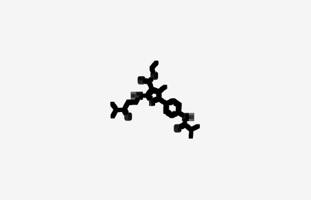 CCOC(=O)c1c(NC=CC(=O)C(C)C)sc(-c2ccc(NC(=O)C(C)C)cc2)c1C